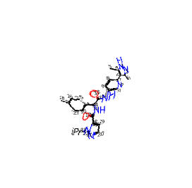 Cc1n[nH]c(C)c1-c1ccc(NC(=O)[C@@H](NC(=O)c2ccnn2C(C)C)[C@H]2CC[C@H](C)CC2)cn1